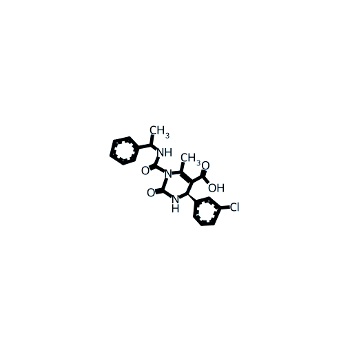 CC1=C(C(=O)O)[C@@H](c2cccc(Cl)c2)NC(=O)N1C(=O)NC(C)c1ccccc1